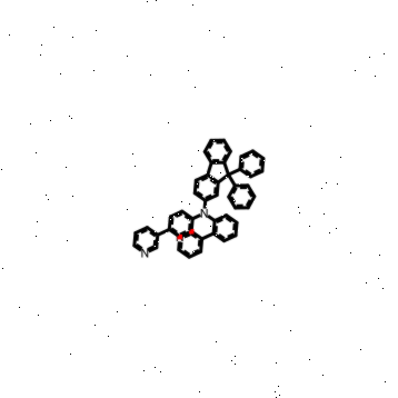 c1ccc(C2(c3ccccc3)c3ccccc3-c3ccc(N(c4ccc(-c5cccnc5)cc4)c4ccccc4-c4cccnc4)cc32)cc1